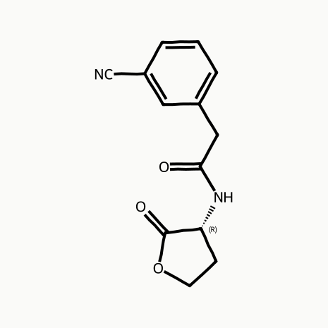 N#Cc1cccc(CC(=O)N[C@@H]2CCOC2=O)c1